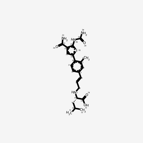 Cc1cc(C=CCN[C@@H](CC(C)C)C(=O)O)ccc1-c1cc(C(N)=O)c(NC(N)=O)s1